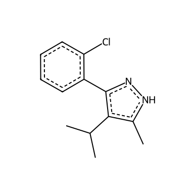 Cc1[nH]nc(-c2ccccc2Cl)c1C(C)C